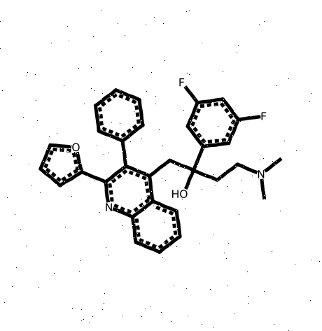 CN(C)CCC(O)(Cc1c(-c2ccccc2)c(-c2ccco2)nc2ccccc12)c1cc(F)cc(F)c1